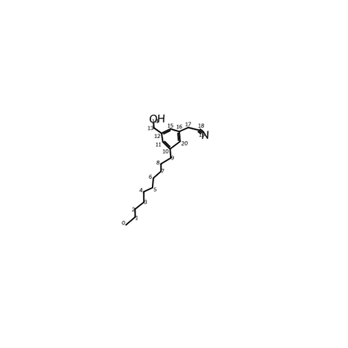 CCCCCCCCCCc1cc(CO)cc(CC#N)c1